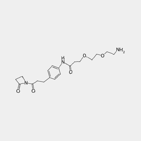 NCCOCCOCCC(=O)Nc1ccc(CCC(=O)N2CCC2=O)cc1